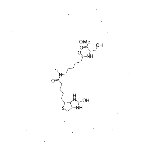 COC(=O)C(CO)NC(=O)CCCCCN(C)C(=O)CCCCC1SCC2NC(O)NC21